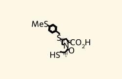 CSc1ccc(CS[C@H]2C[C@@H](C(=O)O)N(C(=O)[C@H](C)CS)C2)cc1